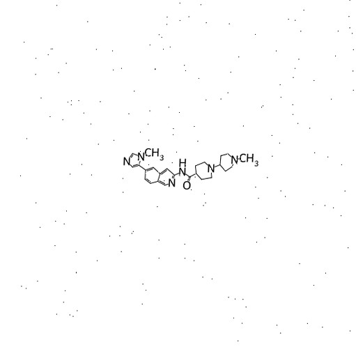 CN1CCC(N2CCC(C(=O)Nc3cc4cc(-c5cncn5C)ccc4cn3)CC2)CC1